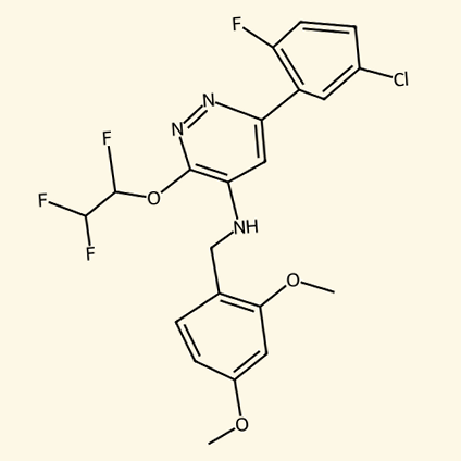 COc1ccc(CNc2cc(-c3cc(Cl)ccc3F)nnc2OC(F)C(F)F)c(OC)c1